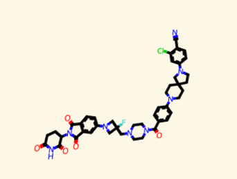 N#Cc1ccc(N2CCC3(CCN(c4ccc(C(=O)N5CCN(CC6(F)CN(c7ccc8c(c7)C(=O)N(C7CCC(=O)NC7=O)C8=O)C6)CC5)cc4)CC3)C2)cc1Cl